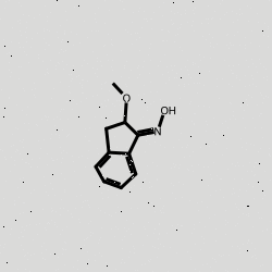 COC1Cc2ccccc2/C1=N/O